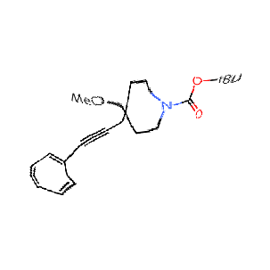 COC1(C#Cc2ccccc2)CCN(C(=O)OC(C)(C)C)CC1